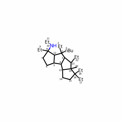 CCCCC1(CC)C2C(C3CCC(CC)(NCC)C31)C1CCC(CC)(CC)C1(C)C2CC